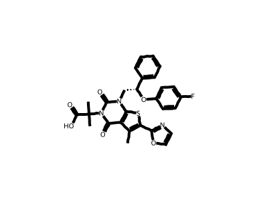 Cc1c(-c2ncco2)sc2c1c(=O)n(C(C)(C)C(=O)O)c(=O)n2C[C@@H](Oc1ccc(F)cc1)c1ccccc1